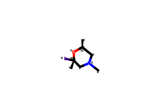 C[C@H]1CN(C)C[C@](C)(I)O1